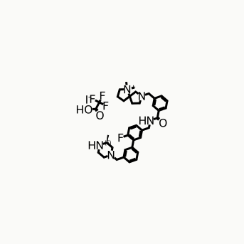 C[C@H]1CN(Cc2cccc(-c3cc(CNC(=O)c4cccc(CN5CCC6(CCC[N+]6(C)C)C5)c4)ccc3F)c2)CCN1.O=C(O)C(F)(F)F.[I-]